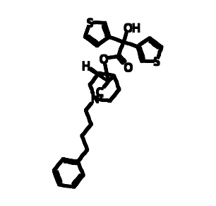 O=C(O[C@H]1C[N+]2(CCCCc3ccccc3)CCC1CC2)C(O)(c1ccsc1)c1ccsc1